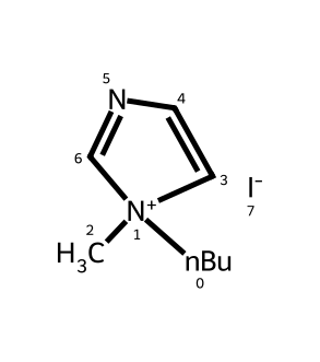 CCCC[N+]1(C)C=CN=C1.[I-]